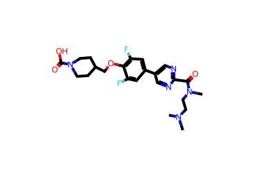 CN(C)CCN(C)C(=O)c1ncc(-c2cc(F)c(OCC3CCN(C(=O)O)CC3)c(F)c2)cn1